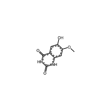 COc1cc2[nH]c(=O)[nH]c(=O)c2cc1O